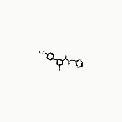 Cc1ccc(-c2cc(I)cc(C(=O)NCc3cnccn3)c2)cc1